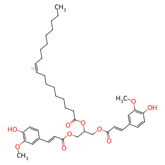 CCCCCCCC/C=C\CCCCCCCC(=O)OC(COC(=O)C=Cc1ccc(O)c(OC)c1)COC(=O)C=Cc1ccc(O)c(OC)c1